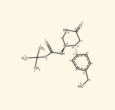 CC(C)(C)OC(=O)N[C@H]1CNC(=O)C[C@@H]1c1ccc(CO)cc1